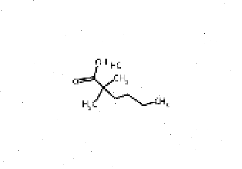 CCCCC(C)(C)C(=O)O.Cl